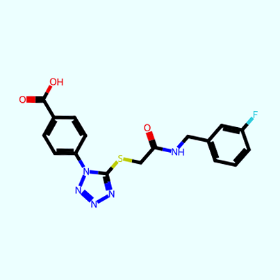 O=C(CSc1nnnn1-c1ccc(C(=O)O)cc1)NCc1cccc(F)c1